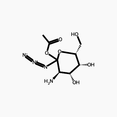 CC(=O)OC1(N=[N+]=[N-])O[C@H](CO)[C@H](O)[C@H](O)[C@H]1N